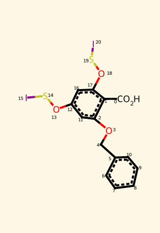 O=C(O)c1c(OCc2ccccc2)cc(OSI)cc1OSI